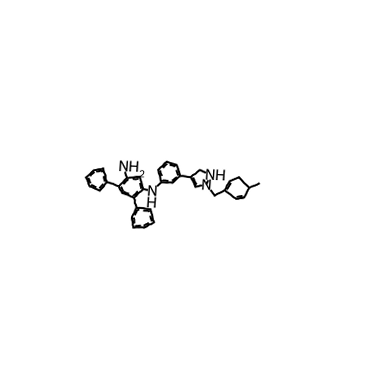 CC1C=CC(CN2C=C(c3cccc(Nc4cc(N)c(-c5ccccc5)cc4-c4ccccc4)c3)CN2)=CC1